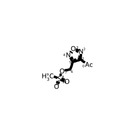 CC(=O)c1nonc1COS(C)(=O)=O